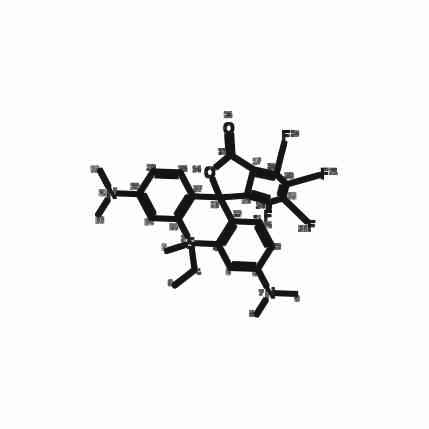 CCS1(C)c2cc(N(C)C)ccc2C2(OC(=O)c3c(F)c(F)c(F)c(F)c32)c2ccc(N(C)C)cc21